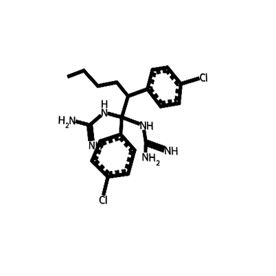 CCCCC(c1ccc(Cl)cc1)C(NC(=N)N)(NC(=N)N)c1ccc(Cl)cc1